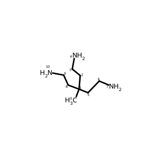 CC(CCN)(CCN)CCN